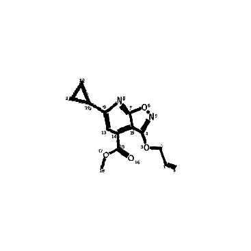 C=CCOc1noc2nc(C3CC3)cc(C(=O)OC)c12